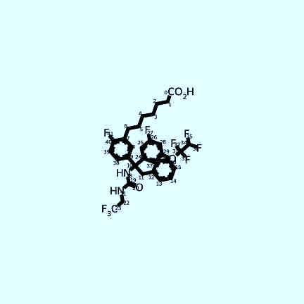 O=C(O)CCCCCCc1cc(C(Cc2ccccc2)(NC(=O)NCC(F)(F)F)c2cc(F)cc(OC(F)(F)C(F)F)c2)ccc1F